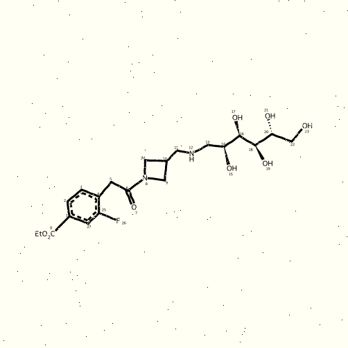 CCOC(=O)c1ccc(CC(=O)N2CC(CNC[C@H](O)[C@@H](O)[C@H](O)[C@H](O)CO)C2)c(F)c1